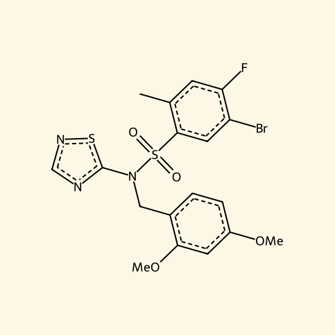 COc1ccc(CN(c2ncns2)S(=O)(=O)c2cc(Br)c(F)cc2C)c(OC)c1